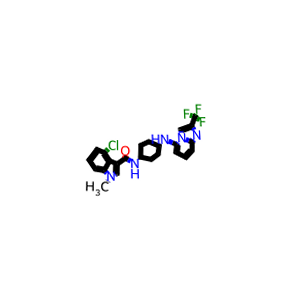 Cn1cc(C(=O)N[C@H]2CC[C@@H](Nc3cccc4nc(C(F)(F)F)cn34)CC2)c2c(Cl)cccc21